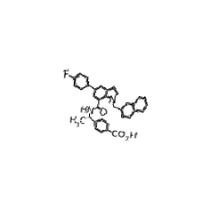 C[C@H](NC(=O)c1cc(-c2ccc(F)cc2)cc2ccn(Cc3ccc4ccccc4c3)c12)c1ccc(C(=O)O)cc1